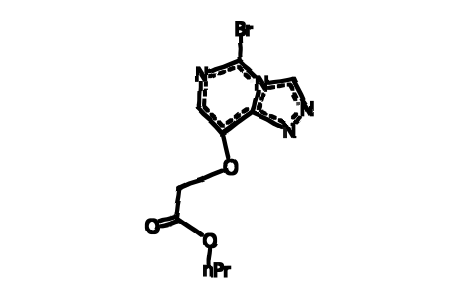 CCCOC(=O)COc1cnc(Br)n2cnnc12